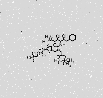 CC(C)CC(O)C(NC(=O)[C@@H](CC(=O)OC(C)(C)C)Cc1csc(NC(=O)OCC(Cl)(Cl)Cl)n1)C(O)CC1CCCCC1